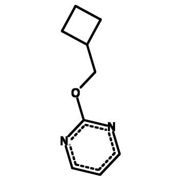 c1cnc(OCC2CCC2)nc1